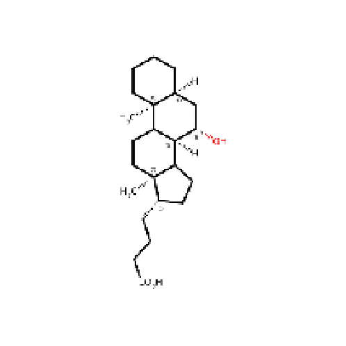 C[C@]12CCC3[C@H](C1CC[C@@H]2CCCC(=O)O)[C@@H](O)C[C@@H]1CCCC[C@]31C